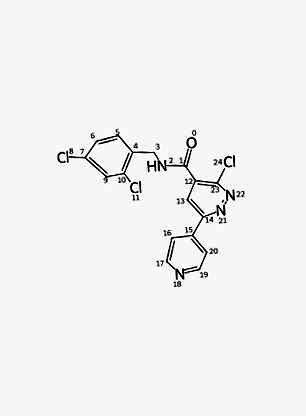 O=C(NCc1ccc(Cl)cc1Cl)c1cc(-c2ccncc2)nnc1Cl